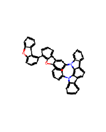 c1ccc(-n2c3ccccc3c3ccc4c5ccccc5n(-c5ccc6oc7c(-c8cccc9oc%10ccccc%10c89)cccc7c6c5)c4c32)cc1